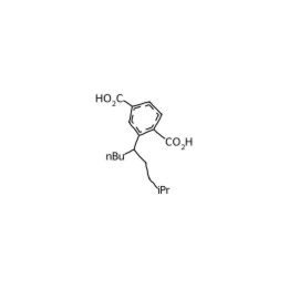 CCCCC(CCC(C)C)c1cc(C(=O)O)ccc1C(=O)O